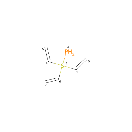 C=CS(P)(C=C)C=C